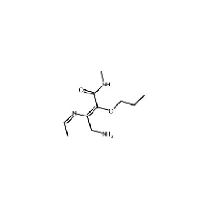 C/C=N\C(CN)=C(\OCCC)C(=O)NC